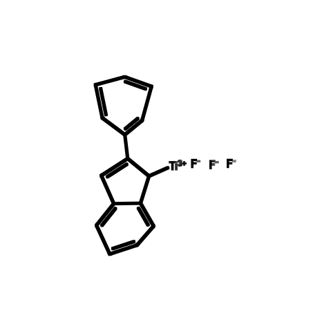 [F-].[F-].[F-].[Ti+3][CH]1C(c2ccccc2)=Cc2ccccc21